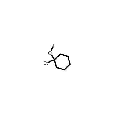 CCC1(OI)CCCCC1